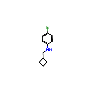 Brc1ccc(NCC2CCC2)cc1